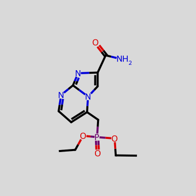 CCOP(=O)(Cc1ccnc2nc(C(N)=O)cn12)OCC